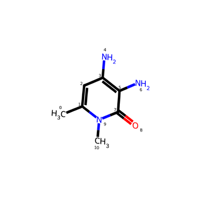 Cc1cc(N)c(N)c(=O)n1C